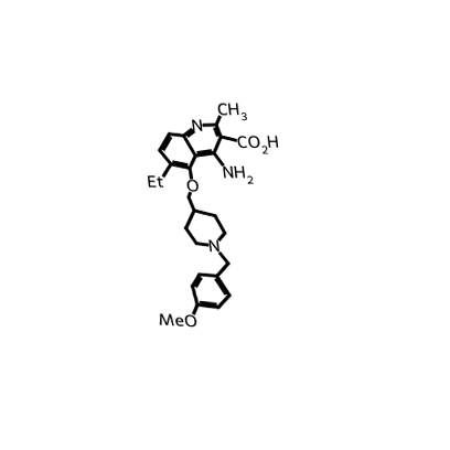 CCc1ccc2nc(C)c(C(=O)O)c(N)c2c1OCC1CCN(Cc2ccc(OC)cc2)CC1